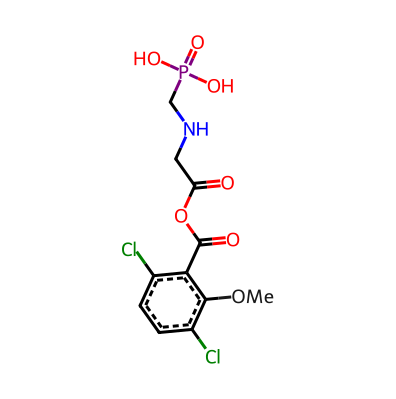 COc1c(Cl)ccc(Cl)c1C(=O)OC(=O)CNCP(=O)(O)O